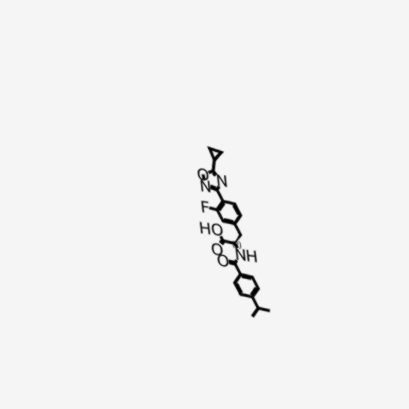 CC(C)c1ccc(C(=O)N[C@H](Cc2ccc(-c3noc(C4CC4)n3)c(F)c2)C(=O)O)cc1